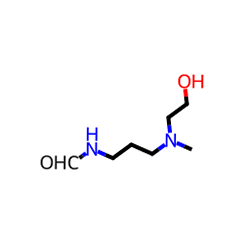 CN(CCO)CCCNC=O